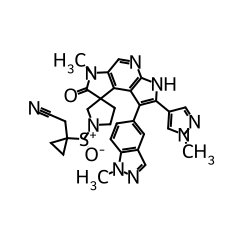 CN1C(=O)C2(CCN([S+]([O-])C3(CC#N)CC3)C2)c2c1cnc1[nH]c(-c3cnn(C)c3)c(-c3ccc4c(cnn4C)c3)c21